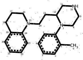 Cc1ccccc1N1CCNCC1CCN1CCCc2ccccc21